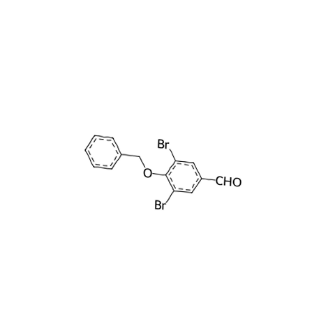 O=Cc1cc(Br)c(OCc2ccccc2)c(Br)c1